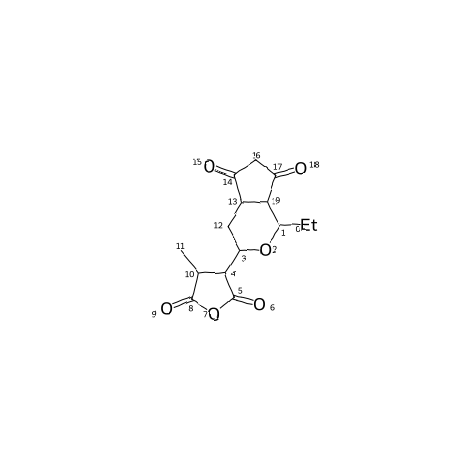 CCC1OC(C2C(=O)OC(=O)C2C)CC2C(=O)CC(=O)C12